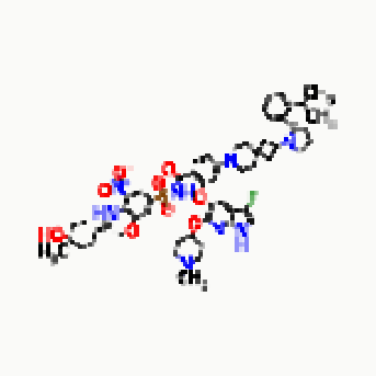 CC(C)c1ccccc1[C@@H]1CCCN1C1CC2(CCN(c3ccc(C(=O)NS(=O)(=O)c4cc5c(c([N+](=O)[O-])c4)N[C@@H]([C@H]4CC[C@](C)(O)CC4)CO5)c(Oc4cc5c(F)c[nH]c5nc4OC4CCN(C)CC4)c3)CC2)C1